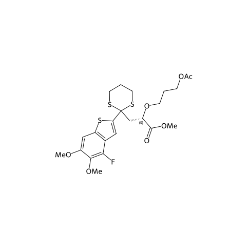 COC(=O)[C@H](CC1(c2cc3c(F)c(OC)c(OC)cc3s2)SCCCS1)OCCCOC(C)=O